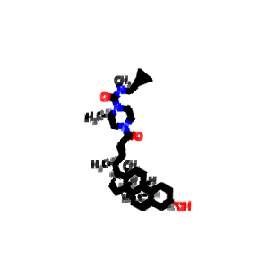 C[C@H](CCC(=O)N1CCN(C(=O)N(C)CC2CC2)[C@@H](C)C1)[C@H]1CC[C@H]2[C@@H]3CC=C4C[C@@H](O)CC[C@]4(C)[C@H]3CC[C@]12C